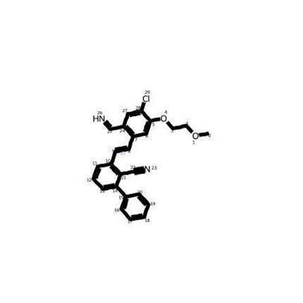 COCCOc1cc(/C=C/c2cccc(-c3ccccc3)c2C#N)c(C=N)cc1Cl